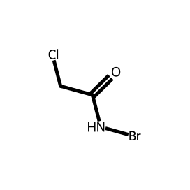 O=C(CCl)NBr